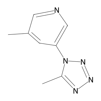 Cc1cncc(-n2nnnc2C)c1